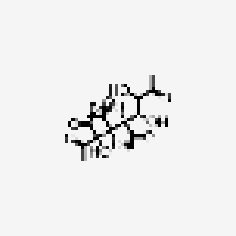 CC(=O)C(O)[C@@H](O)[C@@](O)(C(C)=O)[C@@](O)(C(C)=O)[C@](O)(C(C)=O)C(=O)Br